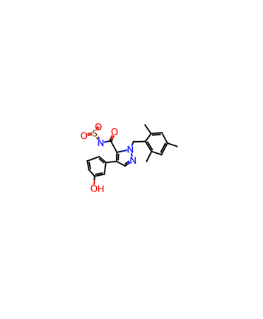 Cc1cc(C)c(Cn2ncc(-c3cccc(O)c3)c2C(=O)N=S(=O)=O)c(C)c1